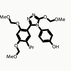 COCOc1cc(OCOC)c(C(C)C)cc1-c1nnc(OCOC)n1-c1ccc(O)cc1